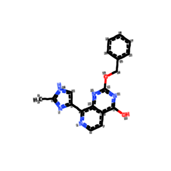 Cc1nc(-c2nccc3c(O)nc(OCc4ccccc4)nc23)c[nH]1